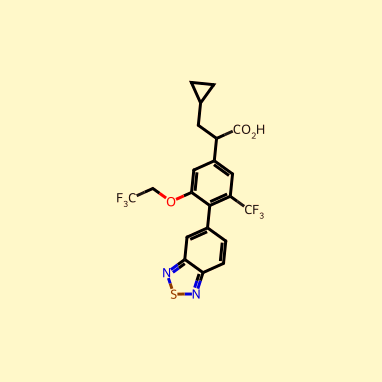 O=C(O)C(CC1CC1)c1cc(OCC(F)(F)F)c(-c2ccc3nsnc3c2)c(C(F)(F)F)c1